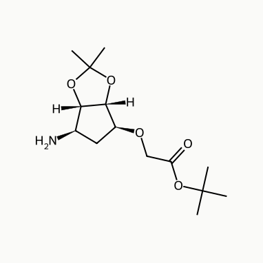 CC(C)(C)OC(=O)CO[C@H]1C[C@@H](N)[C@@H]2OC(C)(C)O[C@@H]21